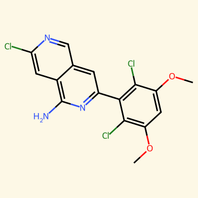 COc1cc(OC)c(Cl)c(-c2cc3cnc(Cl)cc3c(N)n2)c1Cl